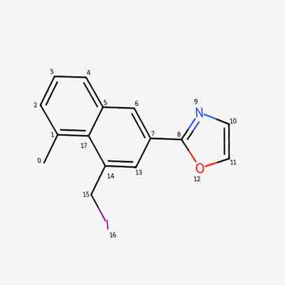 Cc1cccc2cc(-c3ncco3)cc(CI)c12